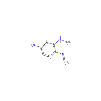 C=Nc1ccc(N)cc1NC